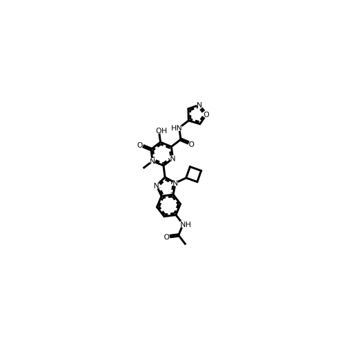 CC(=O)Nc1ccc2nc(-c3nc(C(=O)Nc4cnoc4)c(O)c(=O)n3C)n(C3CCC3)c2c1